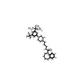 CC(C)(C)c1nc(N2CCN(CCCCC(=O)N3CCCCc4ccccc43)CC2)cc(C(F)(F)F)n1